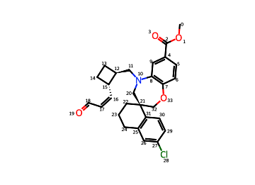 COC(=O)c1ccc2c(c1)N(C[C@@H]1CC[C@H]1/C=C\C=O)C[C@@]1(CCCc3cc(Cl)ccc31)CO2